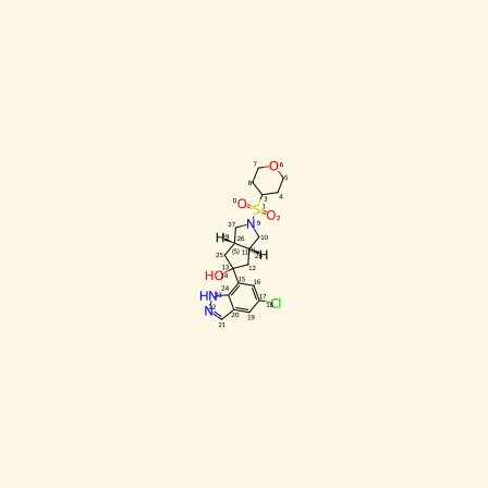 O=S(=O)(C1CCOCC1)N1C[C@@H]2CC(O)(c3cc(Cl)cc4cn[nH]c34)C[C@@H]2C1